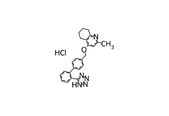 Cc1cc(OCc2ccc(-c3ccccc3-c3nnn[nH]3)cc2)c2c(n1)CCCC2.Cl